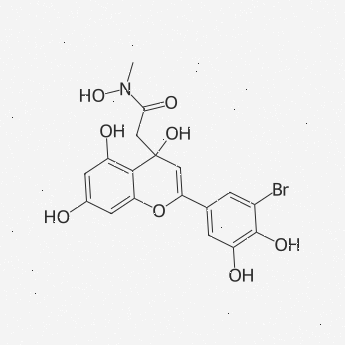 CN(O)C(=O)CC1(O)C=C(c2cc(O)c(O)c(Br)c2)Oc2cc(O)cc(O)c21